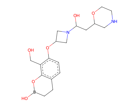 OCc1c(OC2CN(C(O)CC3CNCCO3)C2)ccc2c1OB(O)CC2